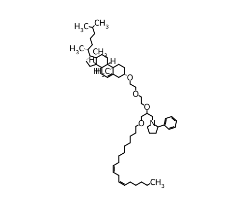 CCCCC/C=C\C/C=C\CCCCCCCCOCC(CN1CCCC1c1ccccc1)OCCOCCO[C@H]1CC[C@@]2(C)C(=CC[C@H]3[C@@H]4CC[C@H]([C@H](C)CCCC(C)C)[C@@]4(C)CC[C@@H]32)C1